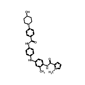 Cc1cc(Nc2ccc(NC(=O)c3ccc(N4CCC(O)CC4)cc3)cc2)ccc1NC(=O)c1cccn1C